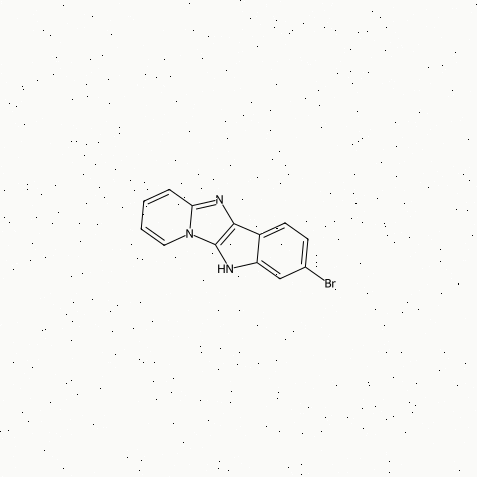 Brc1ccc2c(c1)[nH]c1c2nc2ccccn21